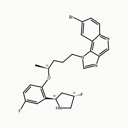 C[C@@H](CCCn1cnc2cnc3ccc(Br)cc3c21)Oc1ccc(F)cc1[C@H]1C[C@H](F)CN1